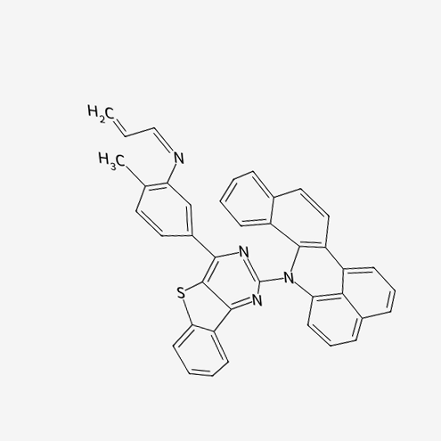 C=C/C=N\c1cc(-c2nc(N3c4c(ccc5ccccc45)-c4cccc5cccc3c45)nc3c2sc2ccccc23)ccc1C